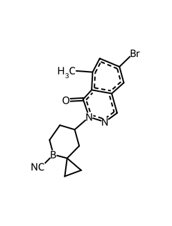 Cc1cc(Br)cc2cnn(C3CCB(C#N)C4(CC4)C3)c(=O)c12